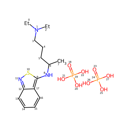 CCN(CC)CCCC(C)Nc1snc2ccccc12.O=P(O)(O)O.O=P(O)(O)O